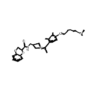 Cc1c(OCCCCN(C)C)ccc(C(C)N2CC(CNC(=O)C3COc4ccccc4O3)C2)c1C